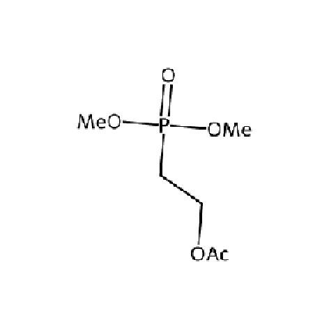 COP(=O)(CCOC(C)=O)OC